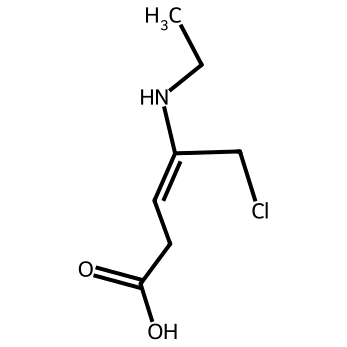 CCNC(=CCC(=O)O)CCl